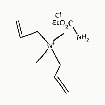 C=CC[N+](C)(C)CC=C.CCOC(N)=O.[Cl-]